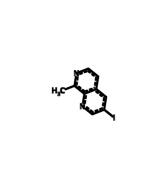 Cc1nccc2cc(I)cnc12